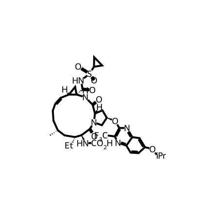 CC[C@@H]1C[C@H](C)CC/C=C\[C@@H]2C[C@@]2(C(=O)NS(=O)(=O)C2CC2)NC(=O)[C@@H]2C[C@@H](Oc3nc4cc(OC(C)C)ccc4nc3C(F)(F)F)CN2C(=O)[C@H]1NC(=O)O